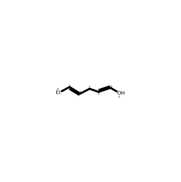 CCC=CCC=CO